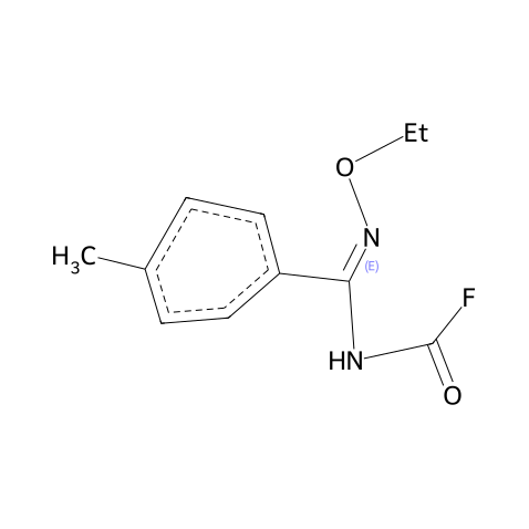 CCO/N=C(/NC(=O)F)c1ccc(C)cc1